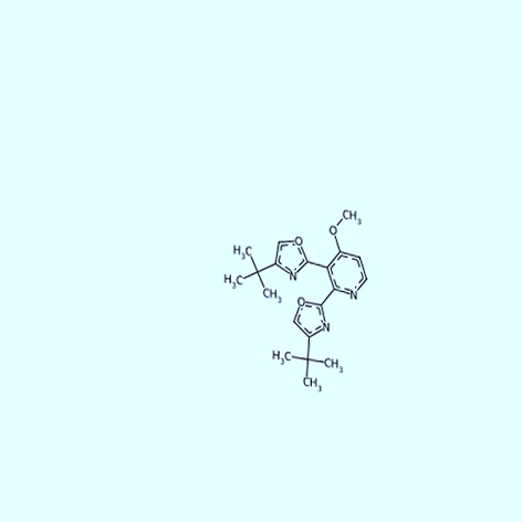 COc1ccnc(-c2nc(C(C)(C)C)co2)c1-c1nc(C(C)(C)C)co1